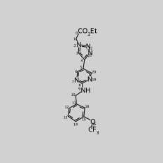 CCOC(=O)Cn1cc(-c2cnc(NCc3cccc(OC(F)(F)F)c3)nc2)nn1